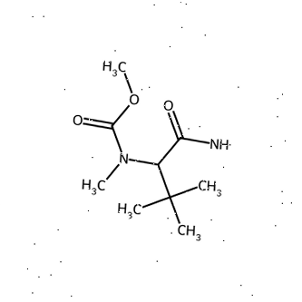 COC(=O)N(C)C(C([NH])=O)C(C)(C)C